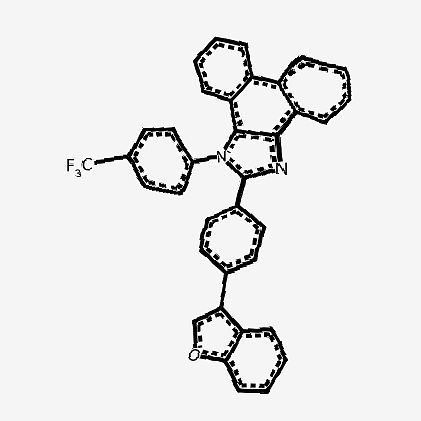 FC(F)(F)c1ccc(-n2c(-c3ccc(-c4coc5ccccc45)cc3)nc3c4ccccc4c4ccccc4c32)cc1